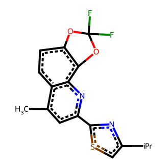 Cc1cc(-c2nc(C(C)C)cs2)nc2c3c(ccc12)OC(F)(F)O3